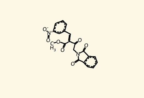 COC(=O)C(=Cc1cccc([N+](=O)[O-])c1)C(=O)CN1C(=O)c2ccccc2C1=O